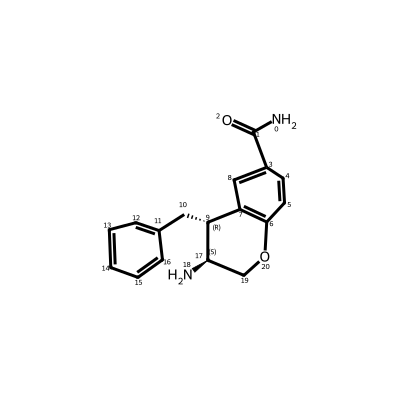 NC(=O)c1ccc2c(c1)[C@@H](Cc1ccccc1)[C@H](N)CO2